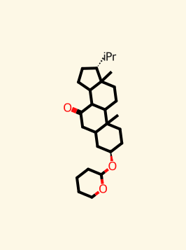 CC(C)[C@H]1CCC2C3C(=O)CC4C[C@H](OC5CCCCO5)CCC4(C)C3CCC21C